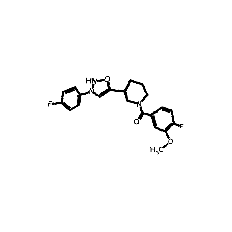 COc1cc(C(=O)N2CCCC(C3=CN(c4ccc(F)cc4)NO3)C2)ccc1F